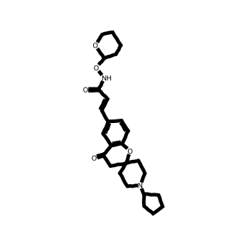 O=C(C=Cc1ccc2c(c1)C(=O)CC1(CCN(C3CCCC3)CC1)O2)NOC1CCCCO1